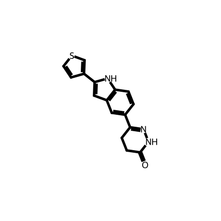 O=C1CCC(c2ccc3[nH]c(-c4ccsc4)cc3c2)=NN1